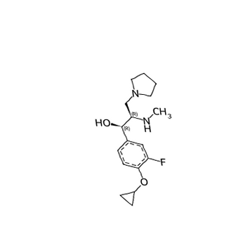 CN[C@H](CN1CCCC1)[C@H](O)c1ccc(OC2CC2)c(F)c1